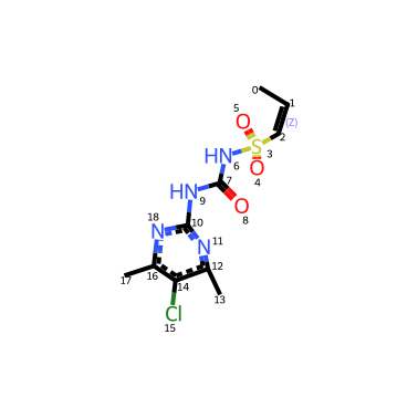 C/C=C\S(=O)(=O)NC(=O)Nc1nc(C)c(Cl)c(C)n1